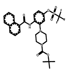 CC(C)(C)OC(=O)N1CCN(c2cc(OS(=O)(=O)C(F)(F)F)ccc2NC(=O)c2cccc3ccccc23)CC1